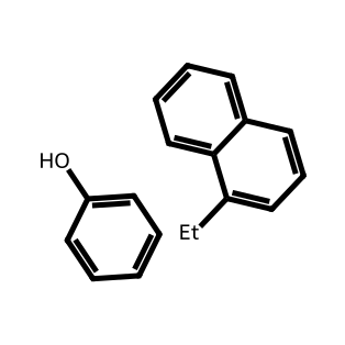 CCc1cccc2ccccc12.Oc1ccccc1